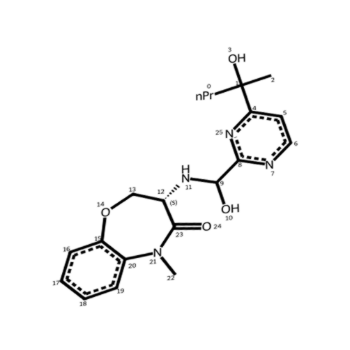 CCCC(C)(O)c1ccnc(C(O)N[C@H]2COc3ccccc3N(C)C2=O)n1